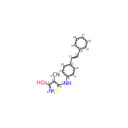 N#Cc1c(O)nsc1Nc1ccc(/C=C/c2ccccc2)cc1